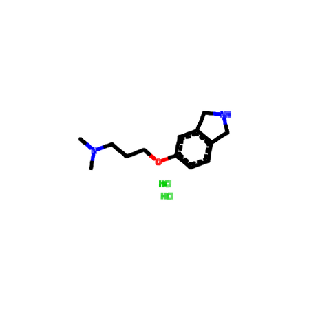 CN(C)CCCOc1ccc2c(c1)CNC2.Cl.Cl